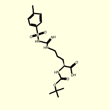 Cc1ccc(S(=O)(=O)NC(=N)NCCC[C@H](NC(=O)OC(C)(C)C)C(=O)O)cc1